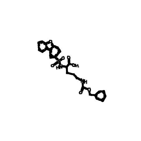 O=C(NCCCC(NS(=O)(=O)c1ccc2oc3ccccc3c2c1)C(=O)O)OCc1ccccc1